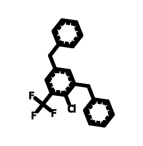 FC(F)(F)c1cc(Cc2ccccc2)cc(Cc2ccccc2)c1Cl